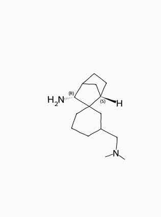 CN(C)CC1CCCC2(C1)[C@H]1CCC(C1)[C@H]2N